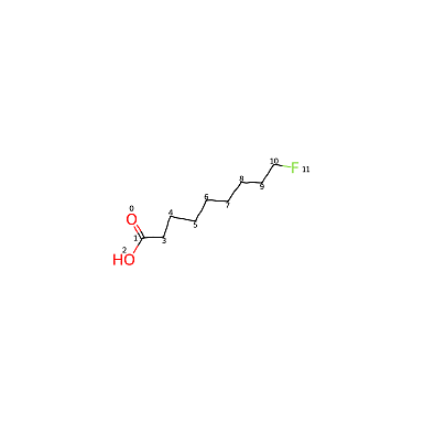 O=C(O)CCCCCCCCF